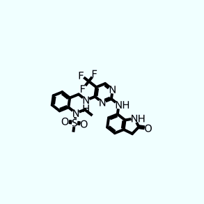 CCN(c1ccccc1CNc1nc(Nc2cccc3c2NC(=O)C3)ncc1C(F)(F)F)S(C)(=O)=O